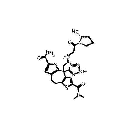 C[C@@H](CC1(c2nn[nH]n2)c2cc(C(=O)N(C)C)sc2CCc2cc(C(N)=O)sc21)NCC(=O)N1CCC[C@H]1C#N